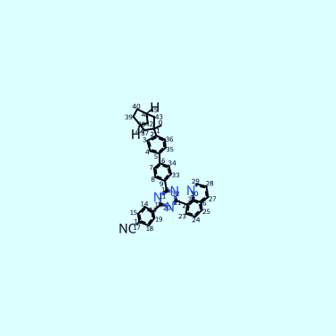 CC1(c2ccc(-c3ccc(-c4nc(-c5ccc(C#N)cc5)nc(-c5cccc6cccnc56)n4)cc3)cc2)C[C@@H]2CC[C@@H](C2)C1